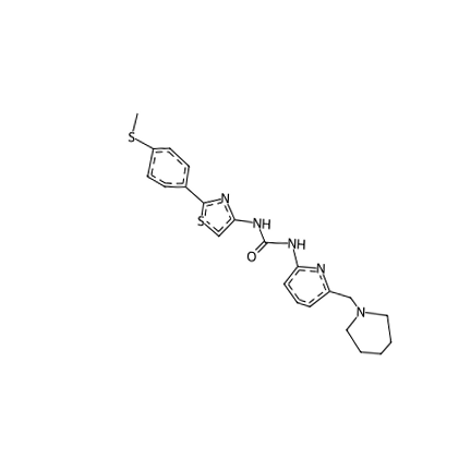 CSc1ccc(-c2nc(NC(=O)Nc3cccc(CN4CCCCC4)n3)cs2)cc1